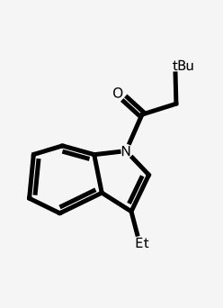 CCc1cn(C(=O)CC(C)(C)C)c2ccccc12